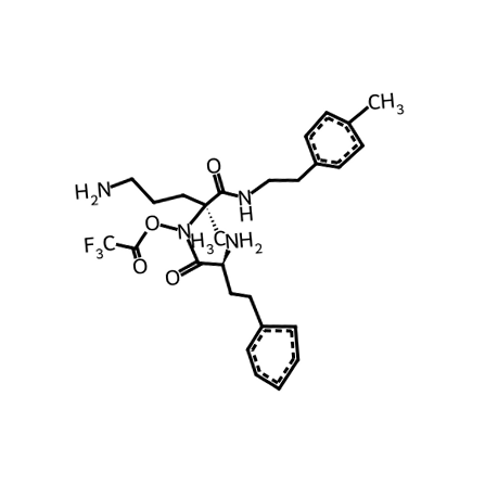 Cc1ccc(CCNC(=O)[C@](C)(CCCN)N(OC(=O)C(F)(F)F)C(=O)[C@@H](N)CCc2ccccc2)cc1